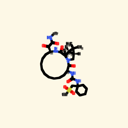 CCCNC(=O)C(=O)[C@@H]1CCCCCCCCC[C@H](NC(=O)NC2(CS(=O)(=O)C(C)(C)C)CCCCC2)C(=O)N2C[C@H]3[C@@H]([C@H]2C(=O)N1)C3(C)C